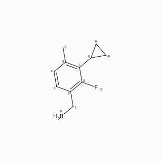 BCc1ccc(C)c(C2CC2)c1F